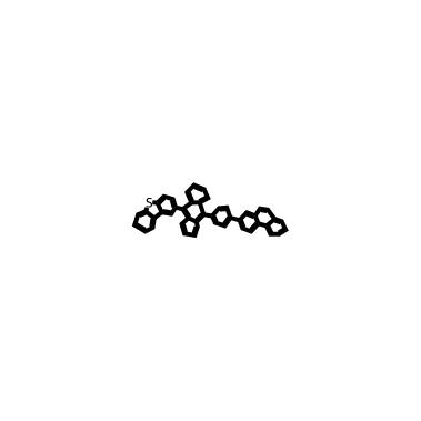 c1ccc2c(c1)ccc1cc(-c3ccc(-c4c5ccccc5c(-c5ccc6sc7ccccc7c6c5)c5ccccc45)cc3)ccc12